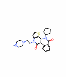 CN1CCN(CCNC(=O)C2c3ccccc3C(=O)N(C3CCCC3)C2c2cccs2)CC1